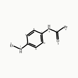 CCNc1ccc(NC(=O)C(C)C)cc1